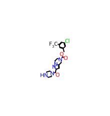 O=C(OCc1cc(Cl)cc(C(F)(F)F)c1)N1CCn2nc(C(=O)N3CCNCC3)cc2C1